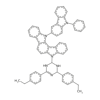 CCc1ccc(C2=NC(c3ccc(CC)cc3)NC(n3c4ccccc4c4c5c(ccc43)c3ccccc3n5-c3ccc4c(c3)c3ccccc3n4-c3ccccc3)N2)cc1